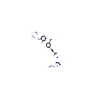 C=C(Nc1ccc(CN2CCN(C)CC2)c(CF)c1)c1ccc(C)c(C#Cc2cnc(Nc3cnn(CCC(C)C)c3)nc2)c1